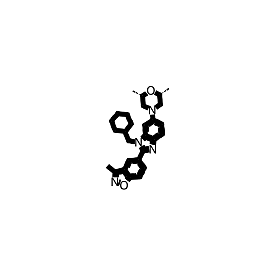 Cc1noc2ccc(-c3nc4ccc(N5C[C@@H](C)O[C@@H](C)C5)cc4n3CC3CCCCC3)cc12